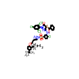 CCC(C)(C)c1ccc(OCCCNS(=O)(=O)c2ccc(Cl)c(NC3=NN(c4c(Cl)cc(Cl)cc4Cl)C(=O)C3SC(=O)c3ccccc3)c2)c(C(C)(C)CC)c1